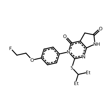 CCC(CC)Sc1nc2c(c(=O)n1-c1ccc(OCCF)cc1)CC(=O)N2